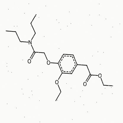 CCCN(CCC)C(=O)COc1ccc(CC(=O)OCC)cc1OCC